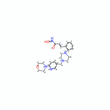 O=C(/C=C/c1ccccc1N1CCN(Cc2ccc(N3CCOCC3)nc2)CC1)NO